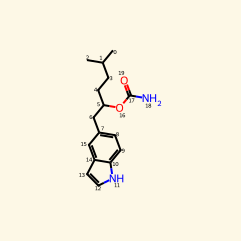 CC(C)CCC(Cc1ccc2[nH]ccc2c1)OC(N)=O